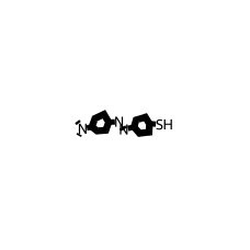 CN(C)c1ccc(/N=N/c2ccc(S)cc2)cc1